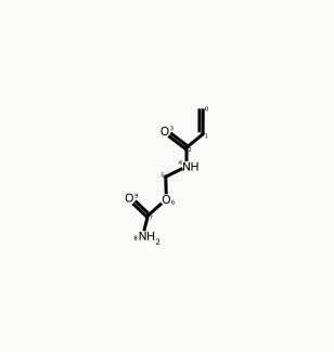 C=CC(=O)NCOC(N)=O